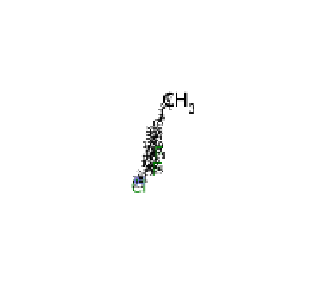 CCCC#CCC[C@H]1CC[C@H](c2ccc(-c3ccc(CC/C=C/Cl)c(F)c3)c(F)c2)CC1